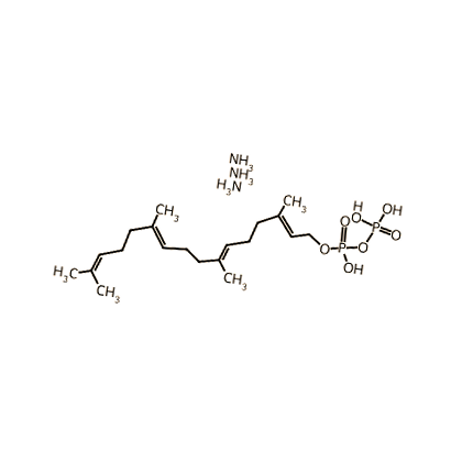 CC(C)=CCCC(C)=CCCC(C)=CCCC(C)=CCOP(=O)(O)OP(=O)(O)O.N.N.N